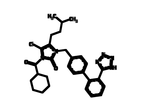 CC(C)CCc1c(Cl)n(C(=O)C2CCCCC2)c(=O)n1Cc1ccc(-c2ccccc2-c2nnn[nH]2)cc1